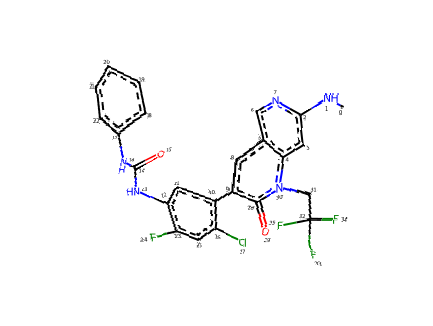 CNc1cc2c(cn1)cc(-c1cc(NC(=O)Nc3ccccc3)c(F)cc1Cl)c(=O)n2CC(F)(F)F